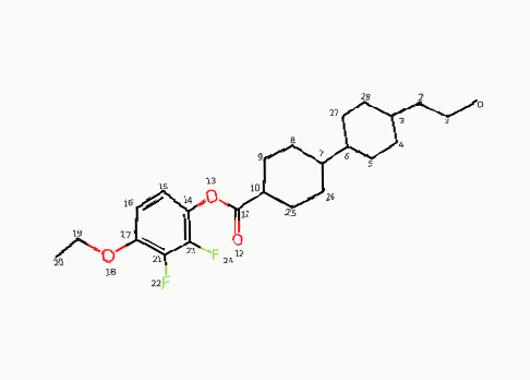 CCCC1CCC(C2CCC(C(=O)Oc3ccc(OCC)c(F)c3F)CC2)CC1